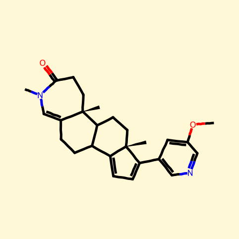 COc1cncc(C2=CC=C3C4CCC5=CN(C)C(=O)CC[C@]5(C)C4CC[C@]23C)c1